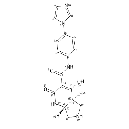 O=C(Nc1ccc(-n2ccnc2)cc1)C1=C(O)[C@H]2CNC[C@@H]2NC1=O